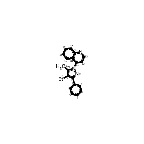 CCc1c(-c2ccccc2)nn(-c2ccnc3ccccc23)c1C